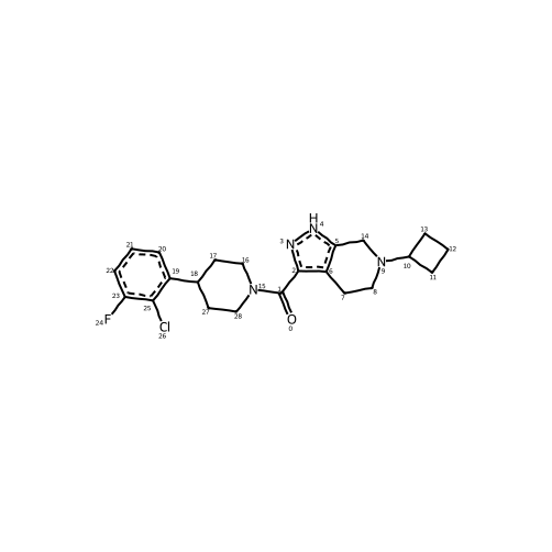 O=C(c1n[nH]c2c1CCN(C1CCC1)C2)N1CCC(c2cccc(F)c2Cl)CC1